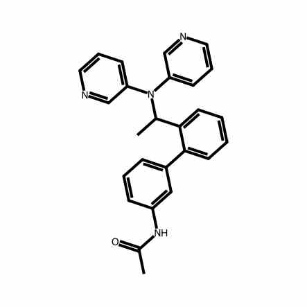 CC(=O)Nc1cccc(-c2ccccc2C(C)N(c2cccnc2)c2cccnc2)c1